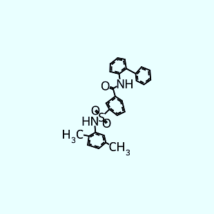 Cc1ccc(C)c(NS(=O)(=O)c2cccc(C(=O)Nc3ccccc3-c3ccccc3)c2)c1